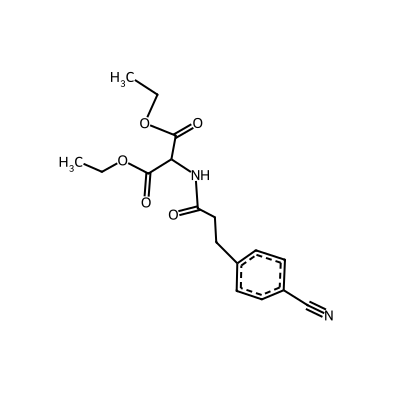 CCOC(=O)C(NC(=O)CCc1ccc(C#N)cc1)C(=O)OCC